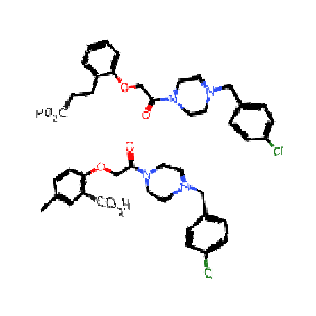 Cc1ccc(OCC(=O)N2CCN(Cc3ccc(Cl)cc3)CC2)c(C(=O)O)c1.O=C(O)CCc1ccccc1OCC(=O)N1CCN(Cc2ccc(Cl)cc2)CC1